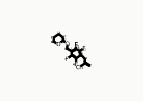 C=C(Cl)Cc1c(F)c(F)c(COC2CCCCO2)c(F)c1F